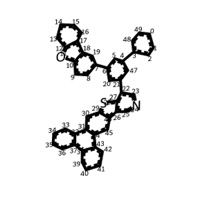 c1ccc(-c2cc(-c3ccc4oc5ccccc5c4c3)cc(-c3cncc4c3sc3cc5c6ccccc6c6ccccc6c5cc34)c2)cc1